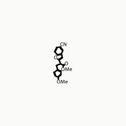 COC(=O)C(Cc1ccc(OC)cc1)c1cc2cc(C#N)ccc2o1